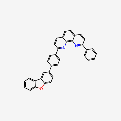 c1ccc(-c2ccc3ccc4ccc(-c5ccc(-c6ccc7oc8ccccc8c7c6)cc5)nc4c3n2)cc1